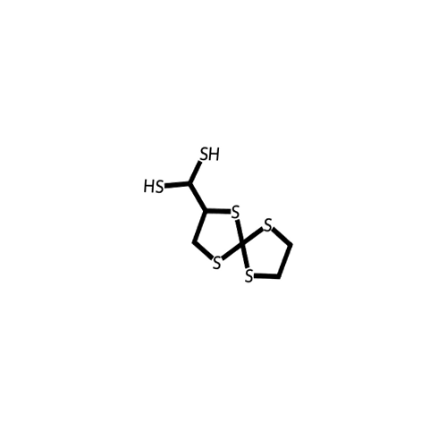 SC(S)C1CSC2(SCCS2)S1